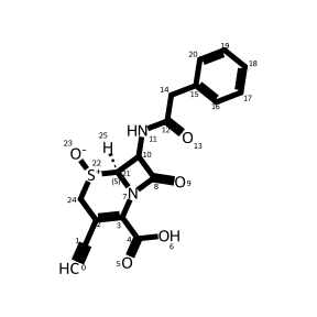 C#CC1=C(C(=O)O)N2C(=O)C(NC(=O)Cc3ccccc3)[C@@H]2[S+]([O-])C1